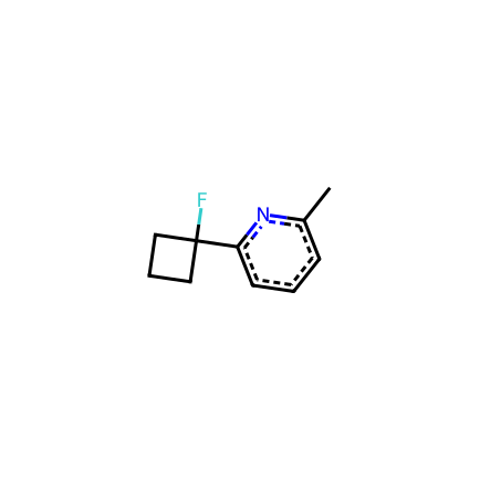 Cc1cccc(C2(F)CCC2)n1